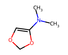 CN(C)C1=COCO1